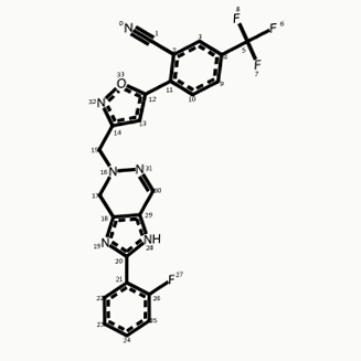 N#Cc1cc(C(F)(F)F)ccc1-c1cc(CN2Cc3nc(-c4ccccc4F)[nH]c3C=N2)no1